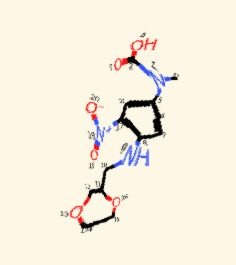 CN(C(=O)O)c1ccc(NCC2COCCO2)c([N+](=O)[O-])c1